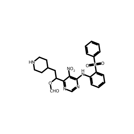 O=COC(CC1CCNCC1)c1ncnc(Nc2ccccc2S(=O)(=O)c2ccccc2)c1[N+](=O)[O-]